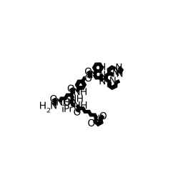 Cc1cccc(-c2nc(CN(C(=O)OCc3ccc(NC(=O)C(CCCNC(N)=O)NC(=O)C(NC(=O)CCCCCN4C(=O)C=CC4=O)C(C)C)cc3)C3CCCCC3)[nH]c2-c2ccc3ncnn3c2)n1